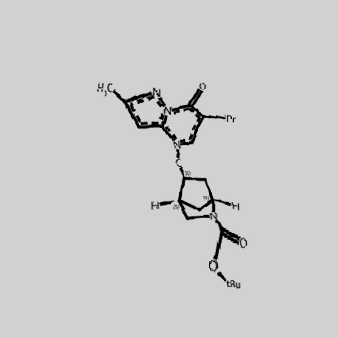 Cc1cc2n(C[C@H]3C[C@H]4C[C@@H]3CN4C(=O)OC(C)(C)C)cc(C(C)C)c(=O)n2n1